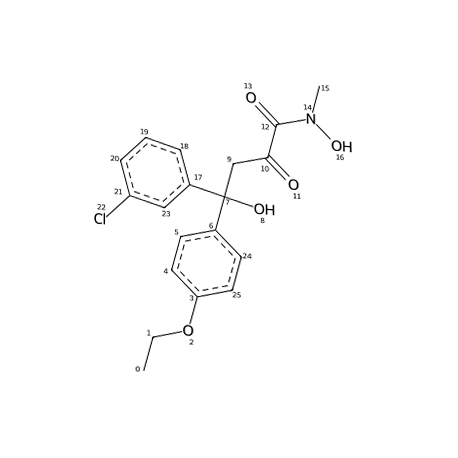 CCOc1ccc(C(O)(CC(=O)C(=O)N(C)O)c2cccc(Cl)c2)cc1